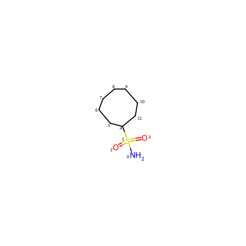 NS(=O)(=O)C1CCCCCCC1